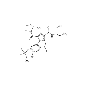 CC[C@H](CO)NC(=O)c1nc(C(=O)N2CCC[C@@H]2C)c(-c2cnc(N[C@@H](C)C(F)(F)F)cc2C(F)F)s1